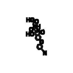 COc1nc(C(=O)NCC(=O)O)c(O)c2ccc(Oc3cccc(C#N)c3)cc12